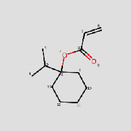 C=CC(=O)OC1(C(C)C)CCCCC1